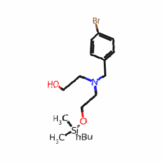 CCCC[Si](C)(C)OCCN(CCO)Cc1ccc(Br)cc1